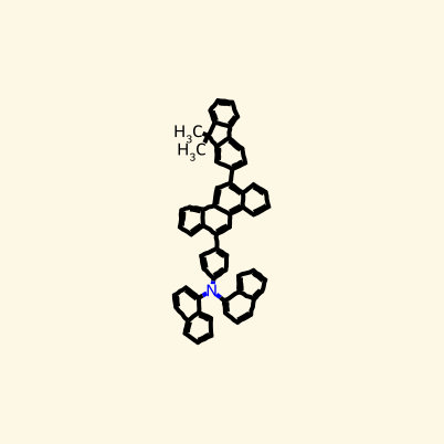 CC1(C)c2ccccc2-c2ccc(-c3cc4c5ccccc5c(-c5ccc(N(c6cccc7ccccc67)c6cccc7ccccc67)cc5)cc4c4ccccc34)cc21